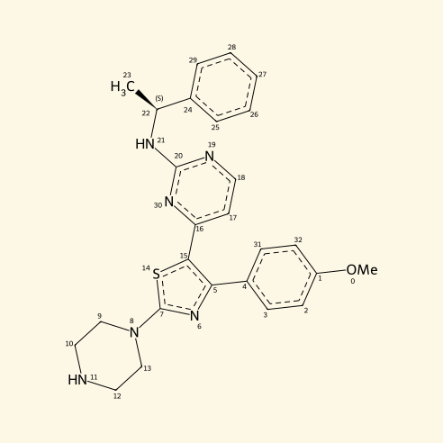 COc1ccc(-c2nc(N3CCNCC3)sc2-c2ccnc(N[C@@H](C)c3ccccc3)n2)cc1